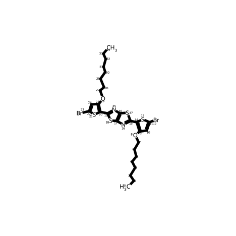 CCCCCCCCOc1cc(Br)sc1-c1nc2sc(-c3sc(Br)cc3OCCCCCCCC)nc2s1